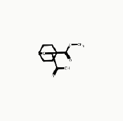 COC(=O)C12CCC(CC1)CC2C(=O)O